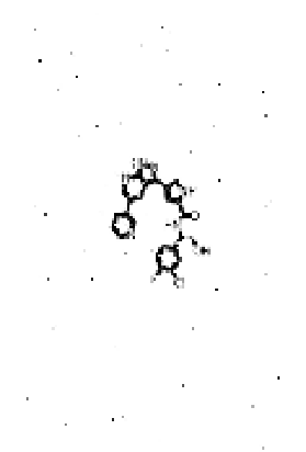 O=C(N[C@H](CO)c1ccc(F)c(Cl)c1)c1cc(-c2n[nH]c3ncc(-c4cccnc4)cc23)c[nH]1